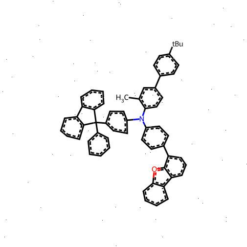 Cc1cc(-c2ccc(C(C)(C)C)cc2)ccc1N(c1ccc(-c2cccc3c2oc2ccccc23)cc1)c1ccc(C2(c3ccccc3)c3ccccc3-c3ccccc32)cc1